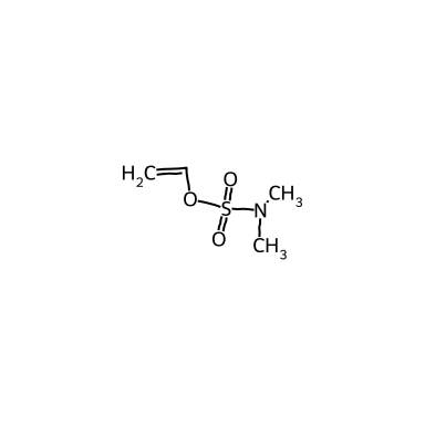 C=COS(=O)(=O)N(C)C